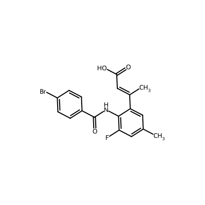 C/C(=C\C(=O)O)c1cc(C)cc(F)c1NC(=O)c1ccc(Br)cc1